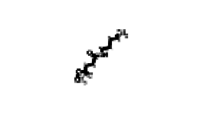 C=CCCCNC(=O)CCC(=O)OC